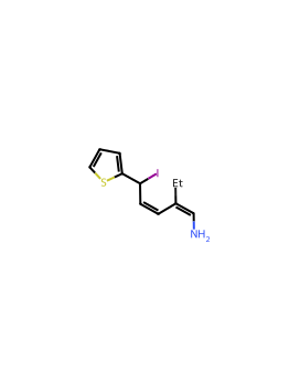 CCC(/C=C\C(I)c1cccs1)=C/N